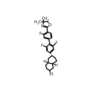 CCC1CC[C@@H]2C[C@H](c3cc(F)c(-c4ccc(C5=NC(C)(C)CO5)c(F)c4)c(F)c3)CC[C@@H]2C1